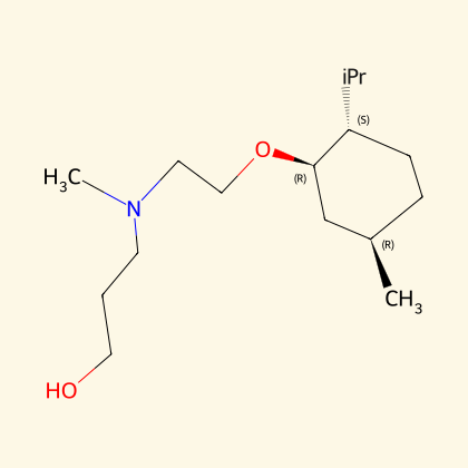 CC(C)[C@@H]1CC[C@@H](C)C[C@H]1OCCN(C)CCCO